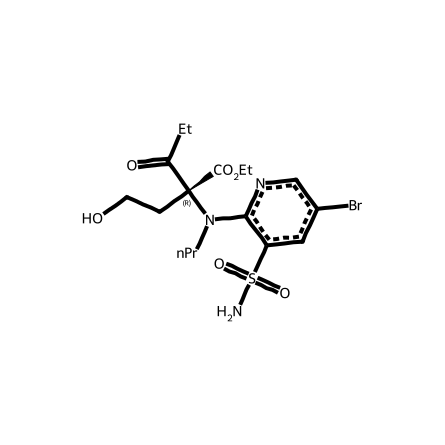 CCCN(c1ncc(Br)cc1S(N)(=O)=O)[C@](CCO)(C(=O)CC)C(=O)OCC